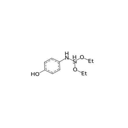 CCO[SiH](Nc1ccc(O)cc1)OCC